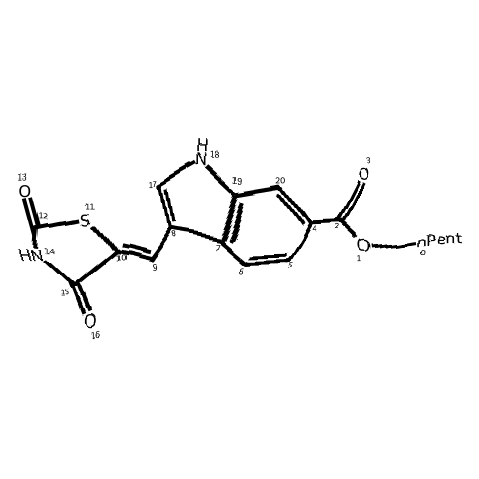 CCCCCOC(=O)c1ccc2c(/C=C3\SC(=O)NC3=O)c[nH]c2c1